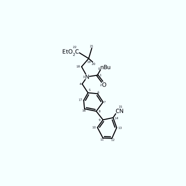 CCCCC(=O)N(Cc1ccc(-c2ccccc2C#N)cc1)CC(C)(C)C(=O)OCC